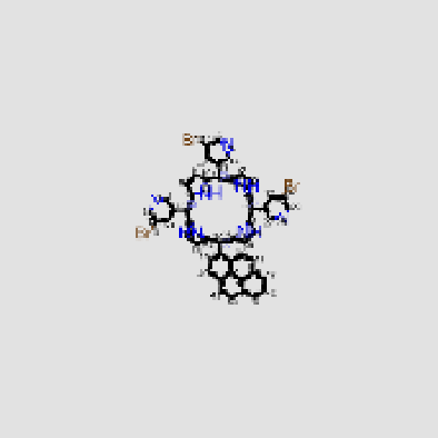 Brc1cncc(/C2=C3\C=CC(N3)/C(c3cncc(Br)c3)=c3/cc/c([nH]3)=C(\c3cncc(Br)c3)C3C=C/C(=C(\c4ccc5ccc6cccc7ccc4c5c67)c4ccc2[nH]4)N3)c1